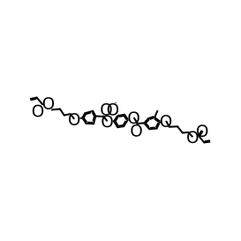 C=CC(=O)OCCCCOc1ccc(C(=O)Oc2ccc(OC(=O)c3ccc(OCCCCOC(=O)C=C)c(C)c3)cc2OC)cc1